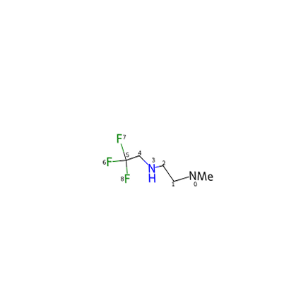 CNCCNCC(F)(F)F